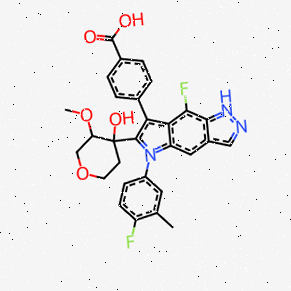 COC1COCCC1(O)c1c(-c2ccc(C(=O)O)cc2)c2c(F)c3[nH]ncc3cc2n1-c1ccc(F)c(C)c1